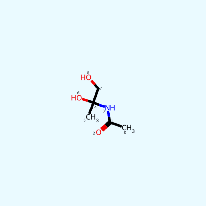 CC(=O)NC(C)(O)CO